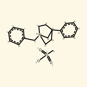 CS(=O)(=O)[O-].c1ccc(C[N+]23CCC(c4ccccc4)(CC2)C3)cc1